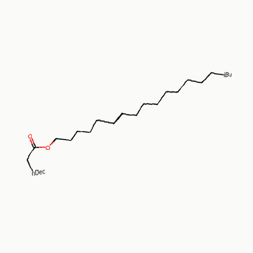 CCCCCCCCCCCC(=O)OCCCCCCCCCCCCCCCC(C)CC